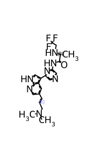 C[C@@H](NCC(F)(F)F)C(=O)Nc1cncc(-c2c[nH]c3ncc(/C=C/CN(C)C)cc23)n1